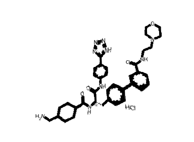 Cl.NCC1CCC(C(=O)N[C@@H](Cc2ccc(-c3cccc(C(=O)NCCN4CCOCC4)c3)cc2)C(=O)Nc2ccc(-c3nnn[nH]3)cc2)CC1